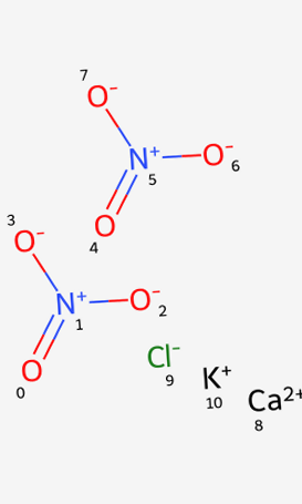 O=[N+]([O-])[O-].O=[N+]([O-])[O-].[Ca+2].[Cl-].[K+]